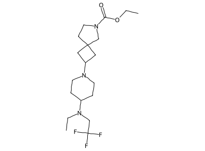 CCOC(=O)N1CCC2(CC(N3CCC(N(CC)CC(F)(F)F)CC3)C2)C1